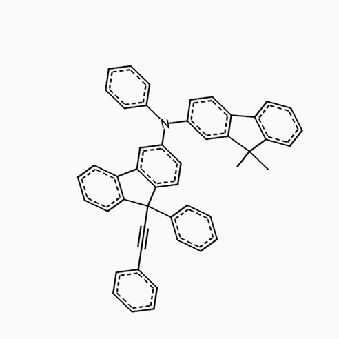 CC1(C)c2ccccc2-c2ccc(N(c3ccccc3)c3ccc4c(c3)-c3ccccc3C4(C#Cc3ccccc3)c3ccccc3)cc21